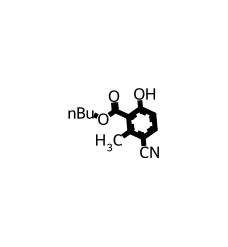 CCCCOC(=O)c1c(O)ccc(C#N)c1C